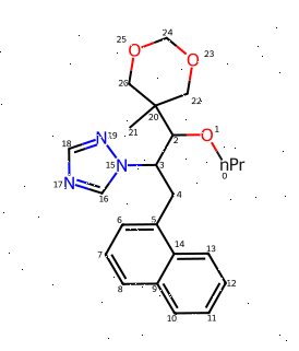 CCCOC(C(Cc1cccc2ccccc12)n1cncn1)C1(C)COCOC1